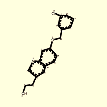 OCCc1cnc2cc(OCc3cccc(Cl)c3)ccc2c1